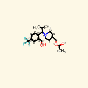 CC(=O)OCC1CCN(C(c2ccc(C(F)(F)F)cc2CO)C(C)C)CC1